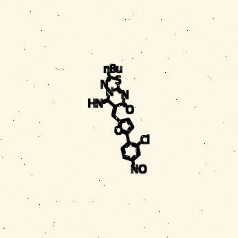 CCCCC1=NN2C(=N)/C(=C/c3ccc(-c4ccc(N=O)cc4Cl)o3)C(=O)N=C2S1